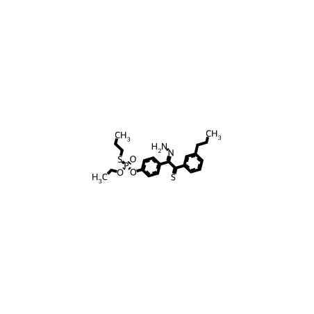 CCCSP(=O)(OCC)Oc1ccc(/C(=N\N)C(=S)c2cccc(CCC)c2)cc1